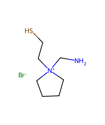 NC[N+]1(CCS)CCCC1.[Br-]